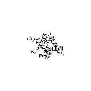 CCC(C)C(NC(=O)C(CCC(=O)O)NC(=O)C(CCC(=O)O)NC(=O)C(CCC(=O)O)NC(=O)C(N)Cc1ccc(O)cc1)C(=O)NC(CCCNC(=N)N)C(=O)NC(C(C)=O)C(C)C